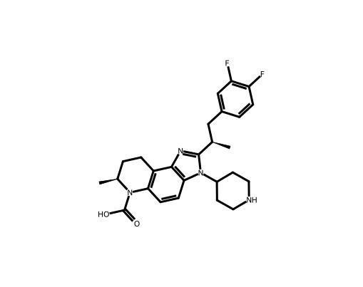 C[C@H](Cc1ccc(F)c(F)c1)c1nc2c3c(ccc2n1C1CCNCC1)N(C(=O)O)[C@@H](C)CC3